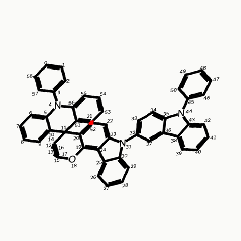 c1ccc(N2c3ccccc3C3(c4ccccc4Oc4c3ccc3c4c4ccccc4n3-c3ccc4c(c3)c3ccccc3n4-c3ccccc3)c3ccccc32)cc1